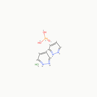 Cl.O=[PH](O)O.c1ccnnc1.c1ccnnc1